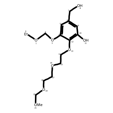 CCOCOc1cc(CO)cc(O)c1OCCOCCOCOC